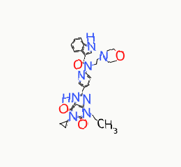 CCCn1c(=O)n(C2CC2)c(=O)c2[nH]c(-c3ccc(N(CCN4CCOCC4)C(=O)c4c[nH]c5ccccc45)nc3)nc21